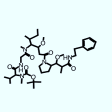 CCC(C)C(C(CC(=O)N1CCCC1C(OC)C(C)C(=O)NCCc1ccccc1)OC)N(C)C(=O)CNC(=O)C(C(C)C)N(C)C(=O)OC(C)(C)C